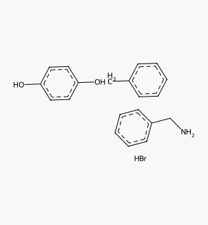 Br.Cc1ccccc1.NCc1ccccc1.Oc1ccc(O)cc1